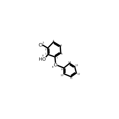 Oc1c(Cl)cccc1Oc1ccccc1